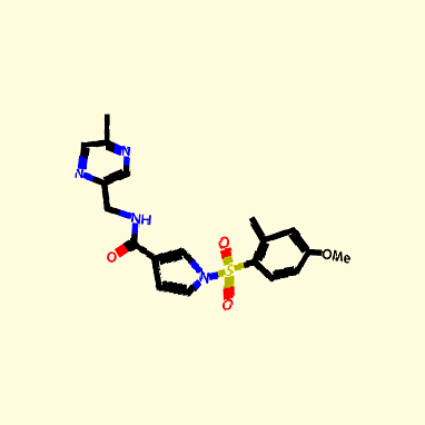 COc1ccc(S(=O)(=O)n2ccc(C(=O)NCc3cnc(C)cn3)c2)c(C)c1